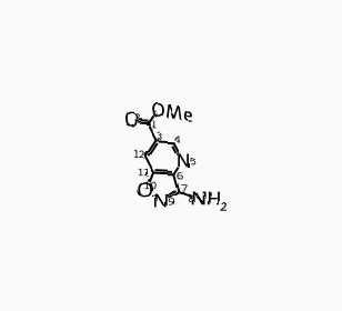 COC(=O)c1cnc2c(N)noc2c1